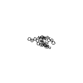 CCCN(Cc1ccc(Oc2ccccc2)cc1)C(=O)[C@H]1[C@@H](C(=O)OC)[C@H](NC(=O)OC(C)(C)C)[C@@H]1C(=O)N(CCC)Cc1ccc(Oc2ccccc2)cc1